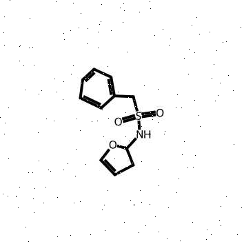 O=S(=O)(Cc1ccccc1)NC1CC=CO1